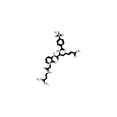 CC(C)CCNC(=O)Cn1cccc(NC(=O)C(CCC=CC(=O)O)NC(=O)c2ccc(S(N)(=O)=O)cc2)c1=O